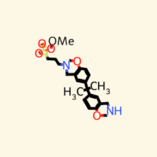 COOS(=O)(=O)CCCN1COc2ccc(C(C)(C)c3ccc4c(c3)CNCO4)cc2C1